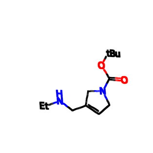 CCNCC1=CCN(C(=O)OC(C)(C)C)C1